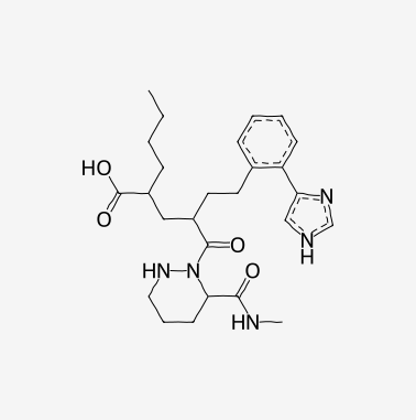 CCCCC(CC(CCc1ccccc1-c1c[nH]cn1)C(=O)N1NCCCC1C(=O)NC)C(=O)O